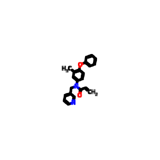 C=CC(=O)N(Cc1cccnc1)c1ccc(Oc2ccccc2)c(C)c1